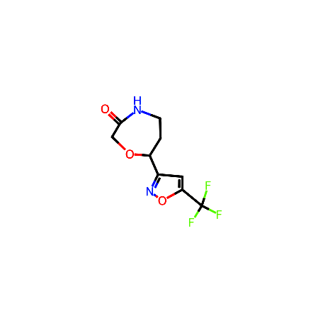 O=C1COC(c2cc(C(F)(F)F)on2)CCN1